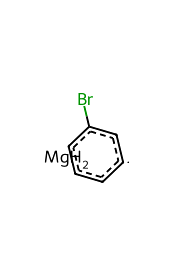 Brc1c[c]ccc1.[MgH2]